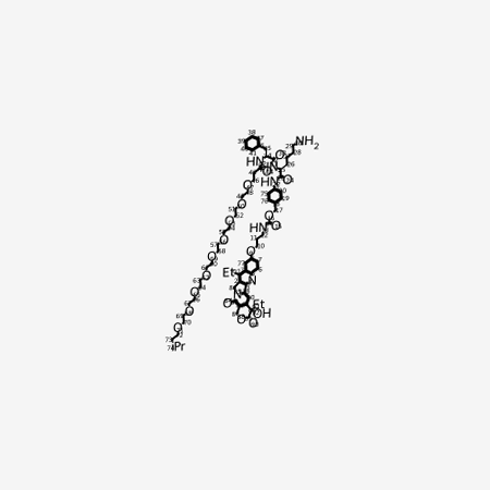 CCc1c2c(nc3ccc(OCCCNC(=O)OCc4ccc(NC(=O)[C@H](CCCCN)NC(=O)[C@H](Cc5ccccc5)NC(=O)CCOCCOCCOCCOCCOCCOCCOCCOCCOCCC(C)C)cc4)cc13)-c1cc3c(c(=O)n1C2)COC(=O)[C@]3(O)CC